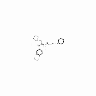 O=C(CCSc1ccccc1)N[C@H](CN1CCCC1)[C@H](O)c1ccc2c(c1)OCCO2